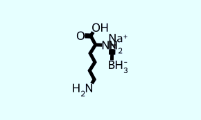 NCCCCC(N)C(=O)O.[BH3-]C#N.[Na+]